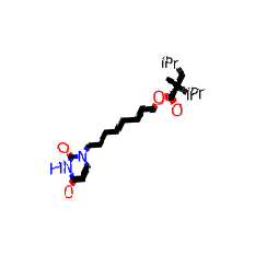 CC(C)CC(C)(C(=O)OCCCCCCCCn1ccc(=O)[nH]c1=O)C(C)C